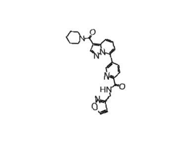 O=C(NCc1ccon1)c1ccc(-c2cccc3c(C(=O)N4CCCCC4)cnn23)cn1